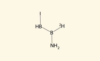 [2H]B(N)BI